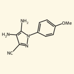 COc1ccc(-n2nc(C#N)c(N)c2N)cc1